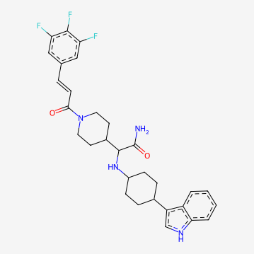 NC(=O)C(NC1CCC(c2c[nH]c3ccccc23)CC1)C1CCN(C(=O)C=Cc2cc(F)c(F)c(F)c2)CC1